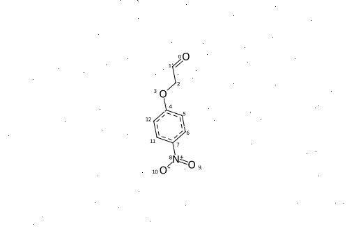 O=[C]COc1ccc([N+](=O)[O-])cc1